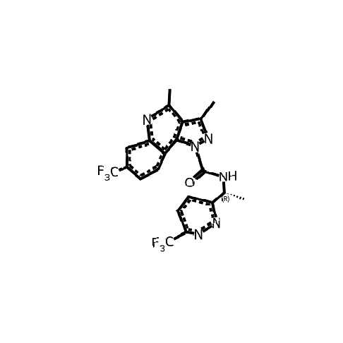 Cc1nc2cc(C(F)(F)F)ccc2c2c1c(C)nn2C(=O)N[C@H](C)c1ccc(C(F)(F)F)nn1